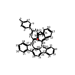 Cc1ccc(-c2nc(-c3ccccc3)nc(-n3c4ccccc4c4ccc5c6ccccc6n(-c6ccccc6)c5c43)n2)cc1